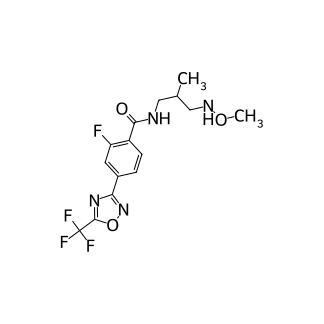 CONCC(C)CNC(=O)c1ccc(-c2noc(C(F)(F)F)n2)cc1F